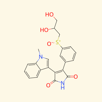 Cn1cc(C2=C(c3cccc([S@+]([O-])CC(O)CO)c3)C(=O)NC2=O)c2ccccc21